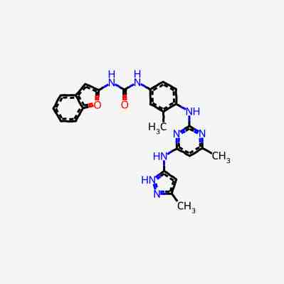 Cc1cc(Nc2cc(C)nc(Nc3ccc(NC(=O)Nc4cc5ccccc5o4)cc3C)n2)[nH]n1